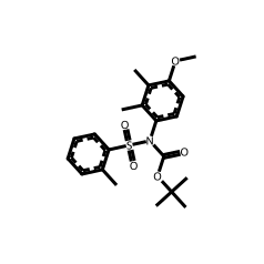 COc1ccc(N(C(=O)OC(C)(C)C)S(=O)(=O)c2ccccc2C)c(C)c1C